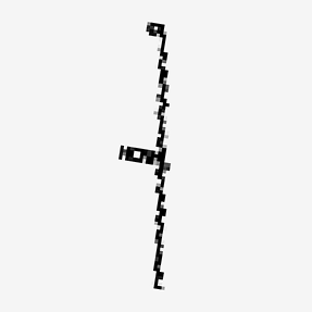 CCCCCCCCCCCCCCCCCCCCCCCCCCCCCCCCCC1CO1.Cl.N